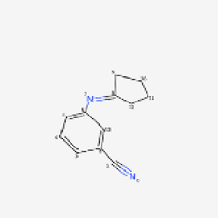 N#Cc1cccc(N=C2CCCC2)c1